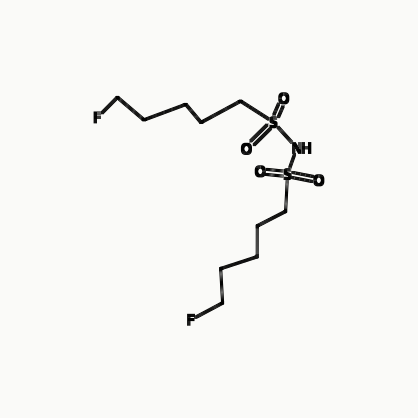 O=S(=O)(CCCCCF)NS(=O)(=O)CCCCCF